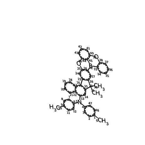 Cc1ccc(N(c2ccc(C)cc2)c2cc3c(c4ccccc24)-c2cc4c(cc2C3(C)C)B2c3ccccc3Oc3cccc(c32)O4)cc1